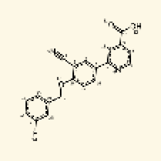 N#Cc1cc(-c2nccc(C(=O)O)n2)ccc1OCc1cccc(F)c1